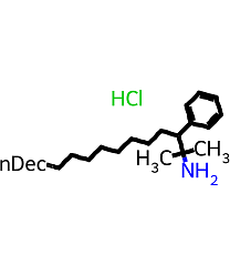 CCCCCCCCCCCCCCCCCCC(c1ccccc1)C(C)(C)N.Cl